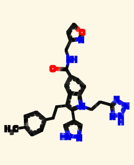 Cc1ccc(CCc2c(-c3cn[nH]c3)n(CCc3nn[nH]n3)c3ccc(C(=O)NCc4ccon4)cc23)cc1